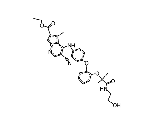 CCOC(=O)c1cn2ncc(C#N)c(Nc3ccc(Oc4ccccc4OC(C)(C)C(=O)NCCO)cc3)c2c1C